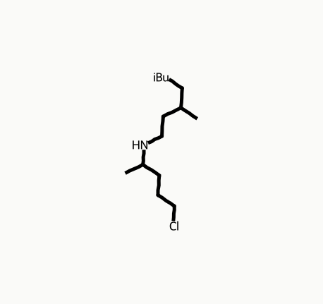 CCC(C)CC(C)CCNC(C)CCCCl